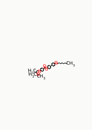 CCCCCCCCOc1ccc(-c2ccc(OC(=O)c3ccc(OC[C@H](C)[C@H](C)OC)cc3)cc2)cc1